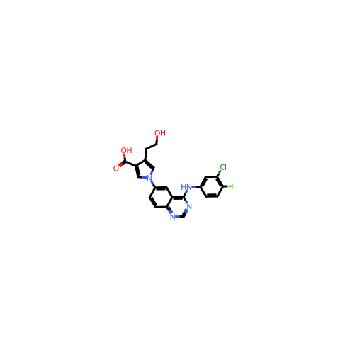 O=C(O)c1cn(-c2ccc3ncnc(Nc4ccc(F)c(Cl)c4)c3c2)cc1CCO